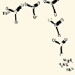 [MgH2].[MgH2].[Nb+5].[Nb+5].[O]=[Ti]([O-])[O-].[O]=[Ti]([O-])[O-].[O]=[Ti]([O-])[O-].[O]=[Ti]([O-])[O-].[O]=[Ti]([O-])[O-]